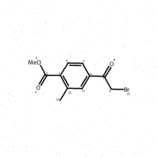 COC(=O)c1ccc(C(=O)CBr)cc1C